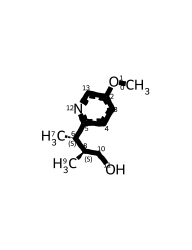 COc1ccc([C@@H](C)[C@H](C)CO)nc1